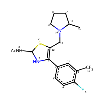 CC(=O)NC1NC(c2ccc(F)c(C(F)(F)F)c2)=C(CN2CCCC2C)S1